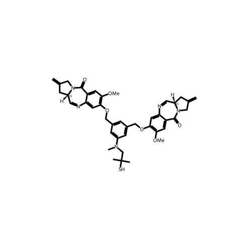 C=C1C[C@H]2C=Nc3cc(OCc4cc(COc5cc6c(cc5OC)C(=O)N5CC(=C)C[C@H]5C=N6)cc(N(C)CC(C)(C)S)c4)c(OC)cc3C(=O)N2C1